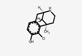 C[C@H]1[C@H]2Cc3ccc(O)c(Cl)c3[C@]1(C)CCN2